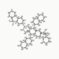 CC1(C)c2ccccc2-c2ccc(C3C=c4c(-c5ccc6ccccc6c5)c5cc6c(cc5c(-c5ccc7ccccc7c5)c4=CC3)-c3ccccc3[Si]6(C)C)cc21